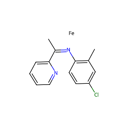 CC(=Nc1ccc(Cl)cc1C)c1ccccn1.[Fe]